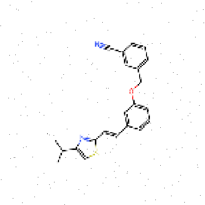 CC(C)c1csc(C=Cc2cccc(OCc3cccc(C#N)c3)c2)n1